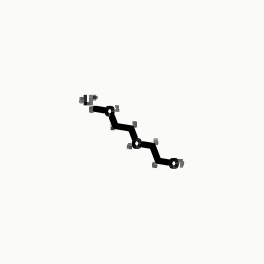 COCCOCC[O-].[Li+]